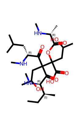 CC[C@H](C)[C@@H](NC)C(=O)C(CC(C)O)(C(=O)[C@@H](CC(C)C)NC)C(CC(C)O)(OC(=O)[C@@H](C)NC)C(=O)O